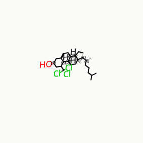 CC(C)CCC[C@@H](C)[C@H]1CC[C@H]2[C@@H]3CC=C4C[C@@H](O)CC(C(Cl)(Cl)Cl)[C@]4(C)[C@H]3CC[C@]12C